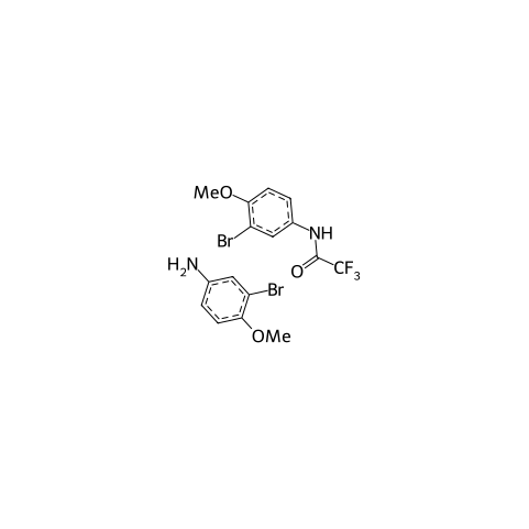 COc1ccc(N)cc1Br.COc1ccc(NC(=O)C(F)(F)F)cc1Br